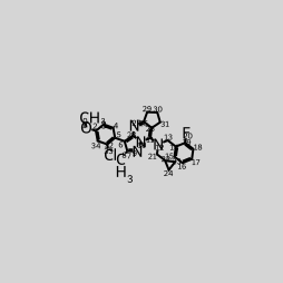 COc1ccc(-c2c(C)nn3c(N(Cc4ccccc4F)CC4CC4)c4c(nc23)CCC4)c(Cl)c1